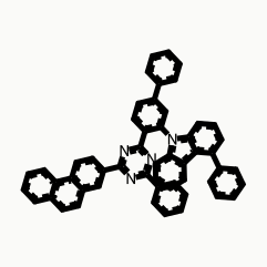 c1ccc(-c2ccc(-c3nc(-c4ccccc4)nc(-c4ccc5c(ccc6ccccc65)c4)n3)c(-n3c4ccccc4c4c(-c5ccccc5)cccc43)c2)cc1